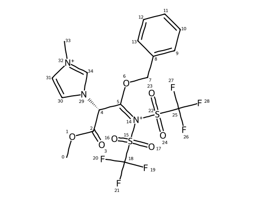 COC(=O)[C@@H](C(OCc1ccccc1)=[N+](S(=O)(=O)C(F)(F)F)S(=O)(=O)C(F)(F)F)n1cc[n+](C)c1